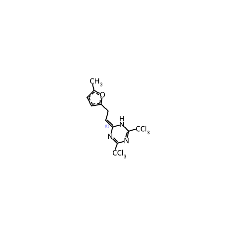 Cc1ccc(C/C=C2/N=C(C(Cl)(Cl)Cl)N=C(C(Cl)(Cl)Cl)N2)o1